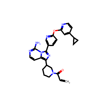 C=CC(=O)N1CCCC(c2nc(-c3ccc(Oc4cc(C5CC5)ccn4)nc3)n3c(N)nccc23)C1